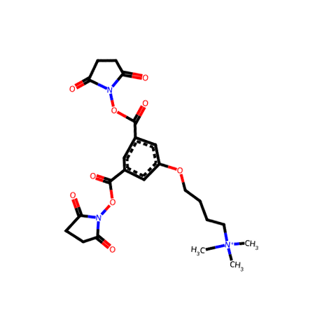 C[N+](C)(C)CCCCOc1cc(C(=O)ON2C(=O)CCC2=O)cc(C(=O)ON2C(=O)CCC2=O)c1